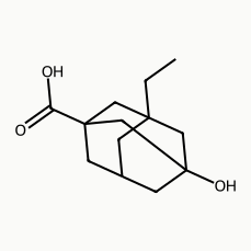 CCC12CC3CC(O)(C1)CC(C(=O)O)(C3)C2